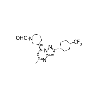 Cc1cc([C@@H]2CCCN(C=O)C2)n2nc([C@H]3CC[C@H](C(F)(F)F)CC3)cc2n1